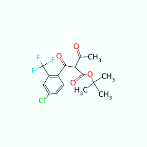 CC(=O)C(C(=O)OC(C)(C)C)C(=O)c1ccc(Cl)cc1C(F)(F)F